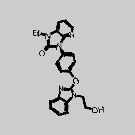 CCn1c(=O)n(-c2ccc(Oc3nc4ccccc4n3CCO)cc2)c2ncccc21